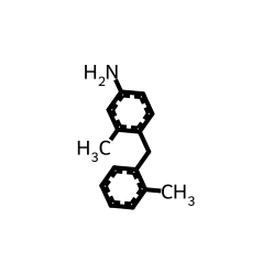 Cc1ccccc1Cc1ccc(N)cc1C